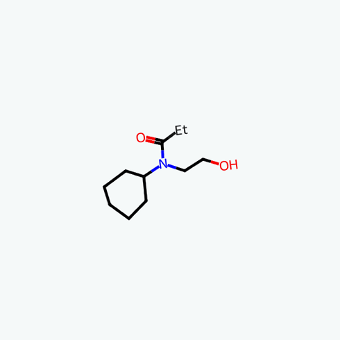 CCC(=O)N(CCO)C1CCCCC1